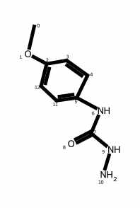 COc1ccc(NC(=O)NN)cc1